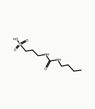 CCCCNC(=O)NCCCS(=O)(=O)O